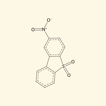 O=[N+]([O-])c1ccc2c(c1)-c1ccccc1S2(=O)=O